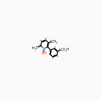 CC1=C(c2cccc(C(=O)O)c2)N(O)C(C)C=C1